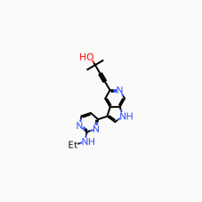 CCNc1nccc(-c2c[nH]c3cnc(C#CC(C)(C)O)cc23)n1